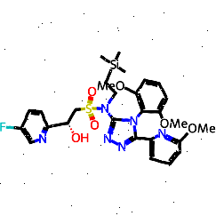 COc1cccc(-c2nnc(N(CC[Si](C)(C)C)S(=O)(=O)C[C@H](O)c3ccc(F)cn3)n2-c2c(OC)cccc2OC)n1